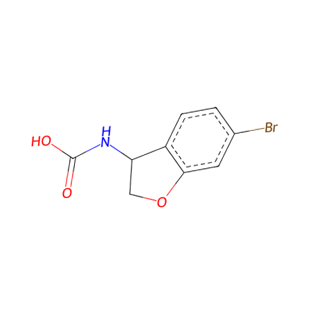 O=C(O)NC1COc2cc(Br)ccc21